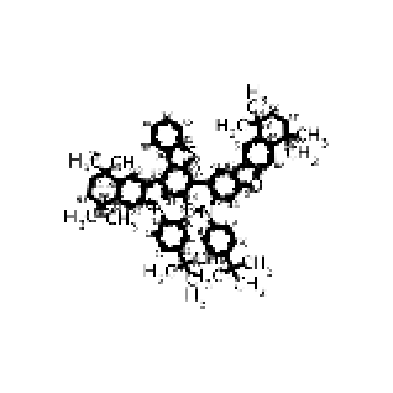 CC(C)(C)c1ccc(N2B3c4cc(C(C)(C)C)ccc4-n4c5cc6c(cc5c5c7c(sc8ccccc87)c(c3c54)-c3cc4c(cc32)oc2cc3c(cc24)C(C)(C)CCC3(C)C)C(C)(C)CCC6(C)C)cc1